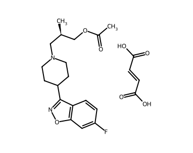 CC(=O)OC[C@H](C)CN1CCC(c2noc3cc(F)ccc23)CC1.O=C(O)C=CC(=O)O